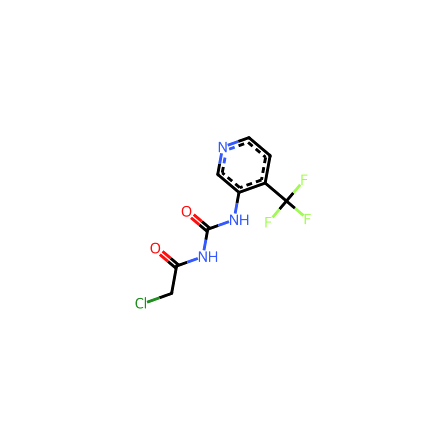 O=C(CCl)NC(=O)Nc1cnccc1C(F)(F)F